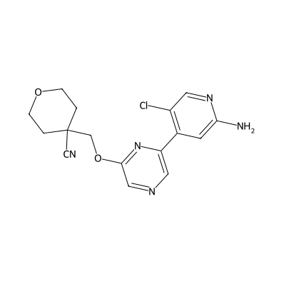 N#CC1(COc2cncc(-c3cc(N)ncc3Cl)n2)CCOCC1